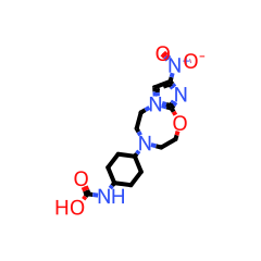 O=C(O)NC1CCC(N2CCOc3nc([N+](=O)[O-])cn3CC2)CC1